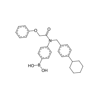 O=C(COc1ccccc1)N(Cc1ccc(C2CCCCC2)cc1)c1ccc(B(O)O)cc1